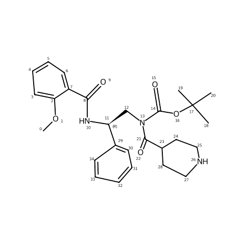 COc1ccccc1C(=O)N[C@@H](CN(C(=O)OC(C)(C)C)C(=O)C1CCNCC1)c1ccccc1